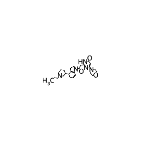 CCCN1CCCC(C2CC=CC3=C2CCN3C(=O)Cc2nc(N3CCOCC3)cc(=O)[nH]2)C1